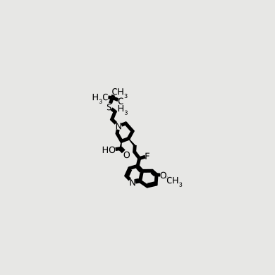 COc1ccc2nccc(C(F)CC[C@@H]3CCN(CCSC(C)(C)C)C[C@@H]3C(=O)O)c2c1